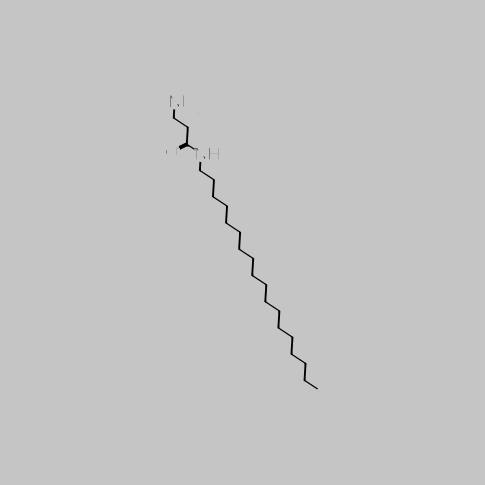 CCCCCCCCCCCCCCCCCCNC(=O)CCN